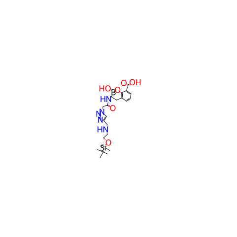 CC(C)(C)[Si](C)(C)OCCNCc1cn(CC(=O)NC2Cc3cccc(C(=O)O)c3OB2O)nn1